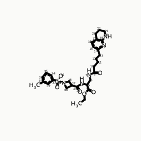 CCOC(=O)C(CNC(=O)CCCCc1ccc2c(n1)NCCC2)NC(=O)C1CN(S(=O)(=O)c2cccc(C)c2)C1